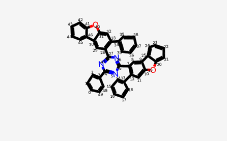 c1ccc(-c2nc(-c3cc4c(cc3-c3ccccc3)oc3ccccc34)nc(-c3cc4c(cc3-c3ccccc3)oc3ccccc34)n2)cc1